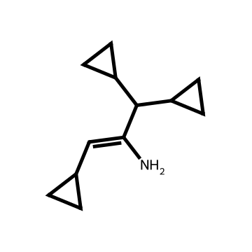 NC(=CC1CC1)C(C1CC1)C1CC1